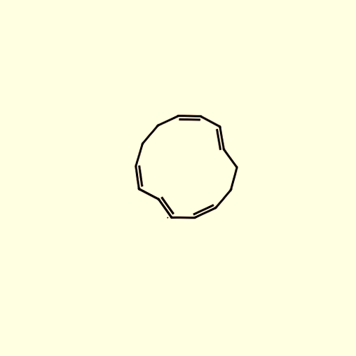 [C]1=C/C=C\CC/C=C\C=C\CC\C=C/1